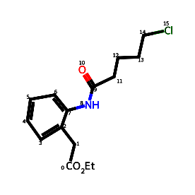 CCOC(=O)Cc1ccccc1NC(=O)CCCCCl